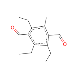 CCc1c(C)c(C=O)c(CC)c(CC)c1C=O